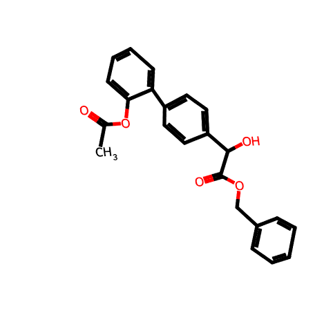 CC(=O)Oc1ccccc1-c1ccc(C(O)C(=O)OCc2ccccc2)cc1